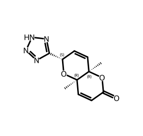 C[C@@]12C=C[C@@H](c3nn[nH]n3)O[C@]1(C)C=CC(=O)O2